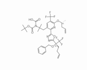 C=CCC[C@@](OCc1ccccc1)(c1nnc(-c2nc(O[C@H](C)CC=C)c(C(F)(F)F)cc2CC(C)(C)N(C(=O)O)C(=O)OC(C)(C)C)o1)C(F)(F)F